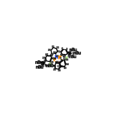 CCCC[Si](CCCC)(CCCC)c1cccc(P(c2ccccc2F)N(C2CCCCC2)P(c2cccc([Si](CCCC)(CCCC)CCCC)c2)c2ccccc2F)c1